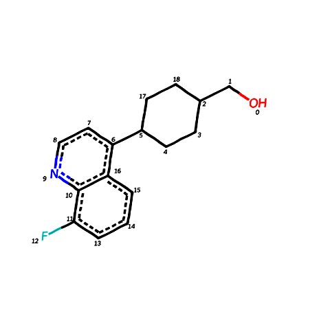 OCC1CCC(c2ccnc3c(F)cccc23)CC1